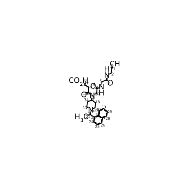 C#CCNC(=O)CNC(=O)CN(C(=O)CCC(=O)O)C1CCN(C(C)c2cccc3ccccc23)CC1